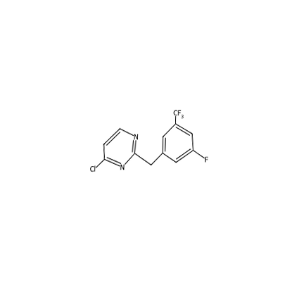 Fc1cc(Cc2nccc(Cl)n2)cc(C(F)(F)F)c1